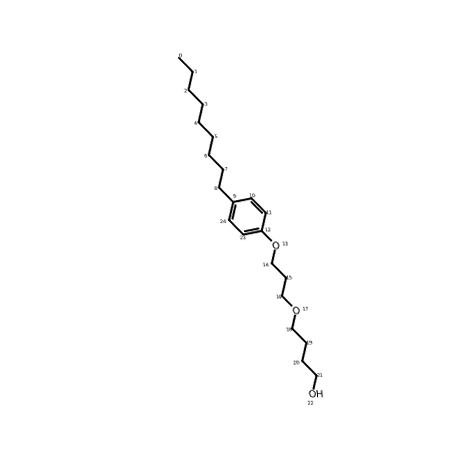 CCCCCCCCCc1ccc(OCCCOCCCCO)cc1